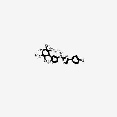 CCOC(=O)C1=C(C)NC(C)=C(C(=O)OCC)C1c1cccc(Nc2nc(-c3ccc(Cl)cc3)cs2)c1